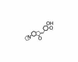 COc1cc(/C=C2\Cc3ccc(N4CCCC4)cc3C2=O)ccc1O